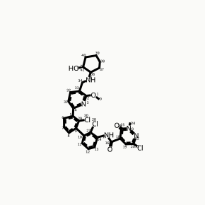 COc1nc(-c2cccc(-c3cccc(NC(=O)c4cc(Cl)nn(C)c4=O)c3Cl)c2Cl)ccc1CNC1CCCC[C@@H]1O